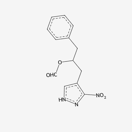 O=COC(Cc1ccccc1)Cc1c[nH]nc1[N+](=O)[O-]